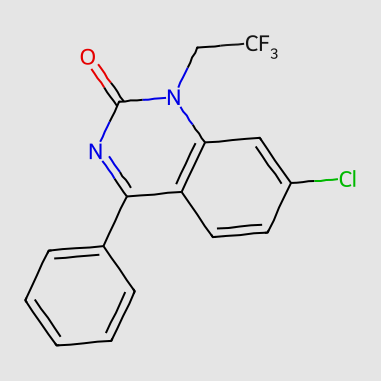 O=c1nc(-c2ccccc2)c2ccc(Cl)cc2n1CC(F)(F)F